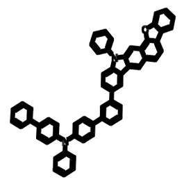 c1ccc(-c2ccc(N(c3ccccc3)c3ccc(-c4cccc(-c5ccc6c(c5)c5cc7ccc8c9ccccc9oc8c7cc5n6-c5ccccc5)c4)cc3)cc2)cc1